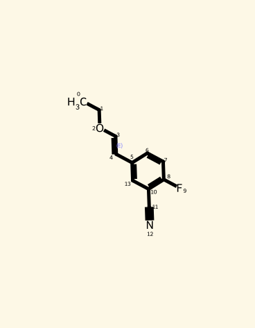 CCO/C=C/c1ccc(F)c(C#N)c1